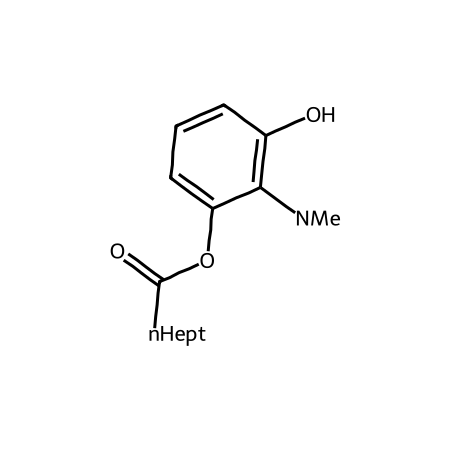 CCCCCCCC(=O)Oc1cccc(O)c1NC